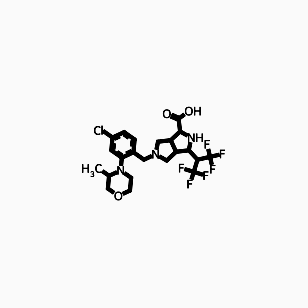 CC1COCCN1c1cc(Cl)ccc1CN1CC2C(C(=O)O)NC(C(C(F)(F)F)C(F)(F)F)C2C1